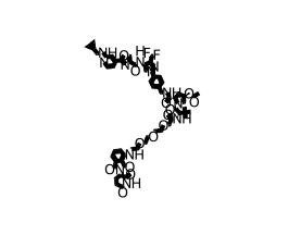 CC(=O)O[C@@H]1C[C@@H](C(=O)NCc2ccc(-n3cc(NC(=O)c4coc(-c5ccnc(NCC6CC6)c5)n4)c(C(F)F)n3)cc2)N(C(=O)[C@@H](NC(=O)COCCOCCOCCNc2cccc3c2C(=O)N(C2CCC(=O)NC2=O)C3=O)C(C)(C)C)C1